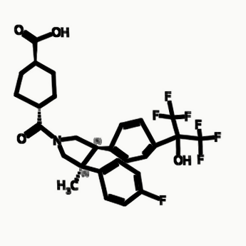 C[C@]1(c2ccc(F)cc2)CN(C(=O)[C@H]2CC[C@H](C(=O)O)CC2)C[C@H]1c1ccc(C(O)(C(F)(F)F)C(F)(F)F)cc1